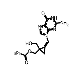 CCCC(=O)OCC1(CO)CC1=Cn1cnc2c(=O)[nH]c(N)nc21